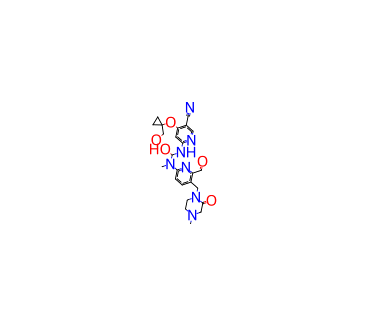 COCC1(Oc2cc(NC(O)N(C)c3ccc(CN4CCN(C)CC4=O)c(C=O)n3)ncc2C#N)CC1